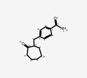 NC(=O)c1ccc(CC2CCCCCC2=O)cc1